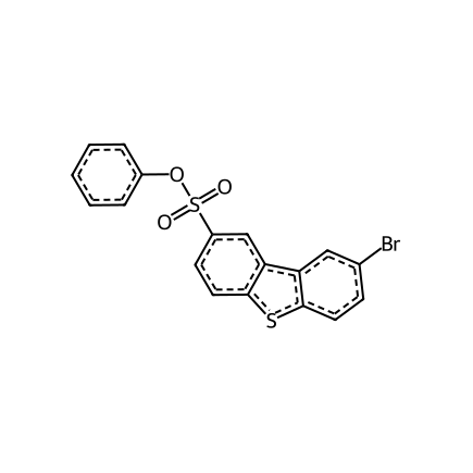 O=S(=O)(Oc1ccccc1)c1ccc2sc3ccc(Br)cc3c2c1